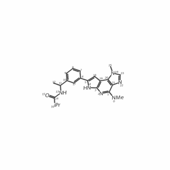 CNc1nc2[nH]c(-c3cccc(C(C)NC(=O)C(C)C)c3)cc2c2c1ncn2C